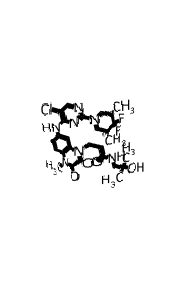 C[C@@H]1CN(c2ncc(Cl)c(Nc3ccc4c(c3)n(CCC(=O)NCC(C)(C)O)c(=O)c(=O)n4C)n2)C[C@H](C)C1(F)F